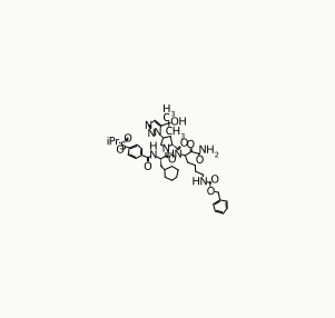 CC(C)S(=O)(=O)c1ccc(C(=O)N[C@H](CC2CCCCC2)C(=O)N2C[C@@H](n3nncc3C(C)(C)O)C[C@H]2C(=O)NC(CCCCNC(=O)OCc2ccccc2)C(=O)C(N)=O)cc1